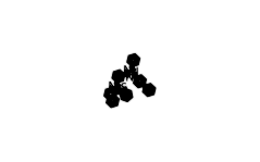 c1ccc(-c2ccc(-c3nc(-c4ccccc4)nc(-c4cccc(-c5nc6ccc7ccccc7c6c6c5sc5ccccc56)c4)n3)cc2)cc1